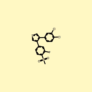 CS(=O)(=O)c1ccc(-c2cscc2-c2ccc(Cl)c(Cl)c2)cc1F